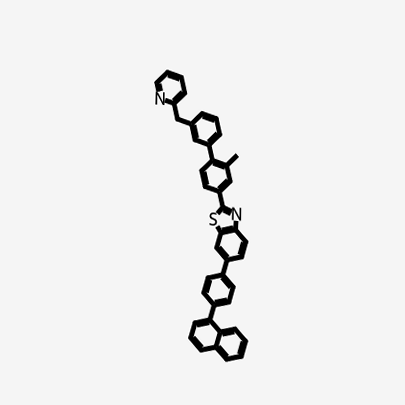 Cc1cc(-c2nc3ccc(-c4ccc(-c5cccc6ccccc56)cc4)cc3s2)ccc1-c1cccc(Cc2ccccn2)c1